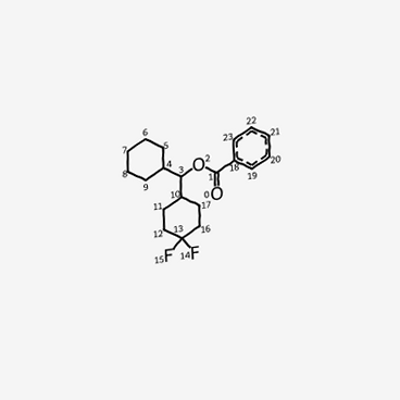 O=C(OC(C1CCCCC1)C1CCC(F)(F)CC1)c1ccccc1